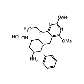 COc1nc(OC)c(CN2CCC[C@H](N)[C@H]2c2ccccc2)c(OCC(F)(F)F)n1.Cl.Cl